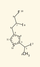 CC(I)c1cc(CC(I)CF)cs1